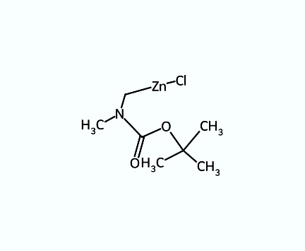 CN([CH2][Zn][Cl])C(=O)OC(C)(C)C